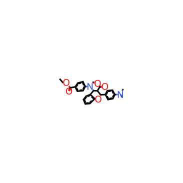 CCOC(=O)c1ccc(N(C=O)C(c2ccccc2)C(C=O)C(=O)c2ccc(N(C)C)cc2)cc1